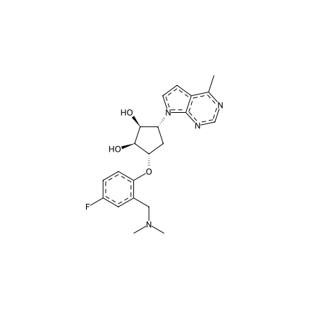 Cc1ncnc2c1ccn2[C@@H]1C[C@H](Oc2ccc(F)cc2CN(C)C)[C@@H](O)[C@H]1O